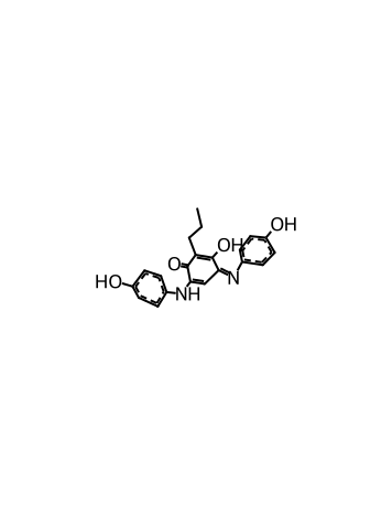 CCCC1=C(O)/C(=N\c2ccc(O)cc2)C=C(Nc2ccc(O)cc2)C1=O